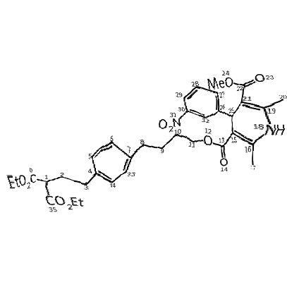 CCOC(=O)C(CCc1ccc(CCCCOC(=O)C2=C(C)NC(C)=C(C(=O)OC)C2c2cccc([N+](=O)[O-])c2)cc1)C(=O)OCC